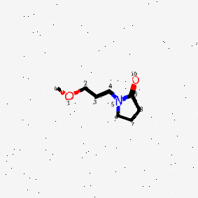 COCCCN1CCCC1=O